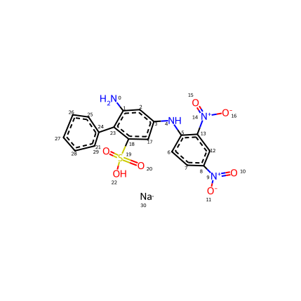 Nc1cc(Nc2ccc([N+](=O)[O-])cc2[N+](=O)[O-])cc(S(=O)(=O)O)c1-c1ccccc1.[Na]